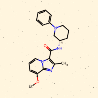 CCOc1cccn2c(C(=O)N[C@H]3CCCN(c4ccccc4)C3)c(C)nc12